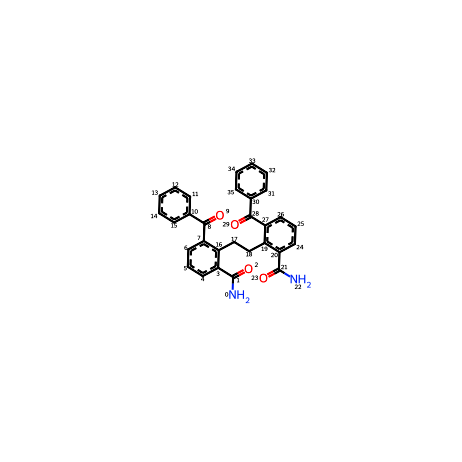 NC(=O)c1cccc(C(=O)c2ccccc2)c1CCc1c(C(N)=O)cccc1C(=O)c1ccccc1